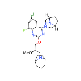 CO[C@@H](COc1nc(N2C[C@H]3CC[C@@H](C2)N3)c2cc(Cl)cc(F)c2n1)CN1C2CCCC1CC2